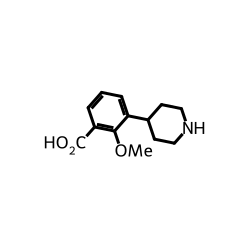 COc1c(C(=O)O)cccc1C1CCNCC1